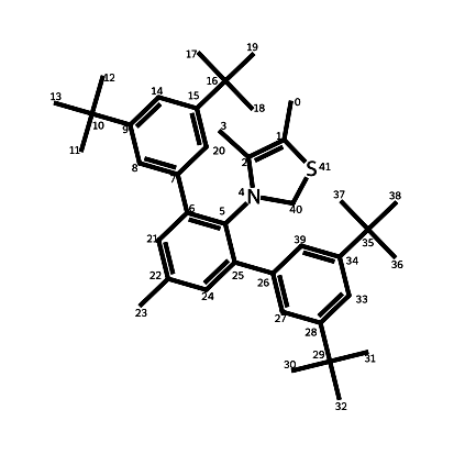 CC1=C(C)N(c2c(-c3cc(C(C)(C)C)cc(C(C)(C)C)c3)cc(C)cc2-c2cc(C(C)(C)C)cc(C(C)(C)C)c2)CS1